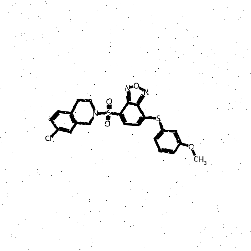 COc1cccc(Sc2ccc(S(=O)(=O)N3CCc4ccc(Cl)cc4C3)c3nonc23)c1